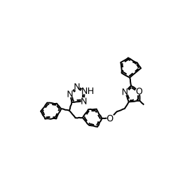 Cc1oc(-c2ccccc2)nc1CCOc1ccc(CC(c2ccccc2)c2nn[nH]n2)cc1